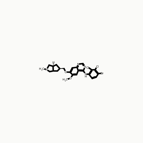 COc1cc2c(Nc3ccc(Br)c(Cl)c3Cl)ncnc2cc1OC[C@H]1CC2CN(C)C[C@H]2C1